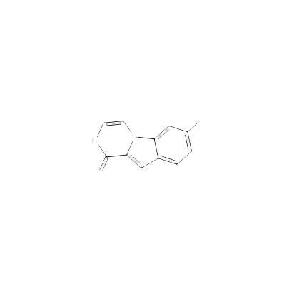 O=c1[nH]ccn2c1cc1ccc(Cl)cc12